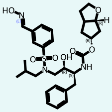 CC(C)CN(C[C@@H](O)[C@H](Cc1ccccc1)NC(=O)O[C@@H]1CC2CCO[C@@H]2C1)S(=O)(=O)c1cccc(/C=N/O)c1